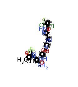 CC1(C)CC(=O)c2c(C(F)(F)F)nn(-c3ccc(C(N)=O)c(N[C@H]4CC[C@H](OC(=O)N5CCC(n6cc(-c7cnc8c(c7)OC(c7c(Cl)ccc(F)c7Cl)N8)cn6)CC5)CC4)c3)c2C1